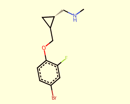 CNC[C@H]1CC1COc1ccc(Br)cc1F